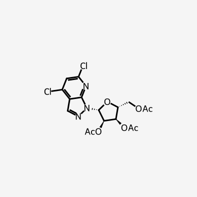 CC(=O)OC[C@H]1O[C@@H](n2ncc3c(Cl)cc(Cl)nc32)[C@H](OC(C)=O)[C@@H]1OC(C)=O